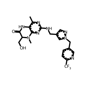 Cc1nc(NCc2cnn(Cc3ccc(C(F)(F)F)nc3)c2)nc2c1NC(=O)C(CO)N2C